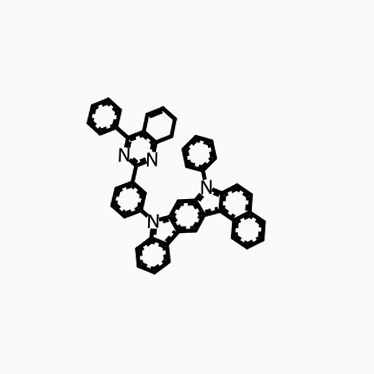 C1=Cc2c(nc(-c3cccc(-n4c5ccccc5c5cc6c7c8ccccc8ccc7n(-c7ccccc7)c6cc54)c3)nc2-c2ccccc2)CC1